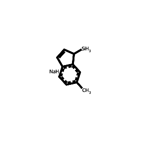 Cc1ccc2c(c1)C([SiH3])C=C2.[NaH]